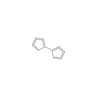 C1=C=CC(C2=C=C=C=C2)=C=1